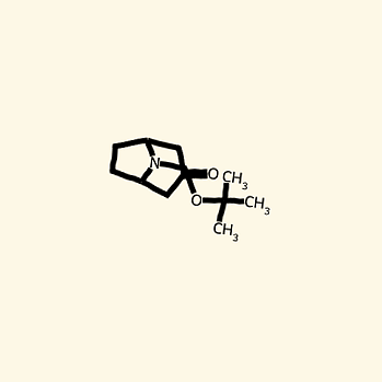 CC(C)(C)OCN1C2CCC1CC(=O)C2